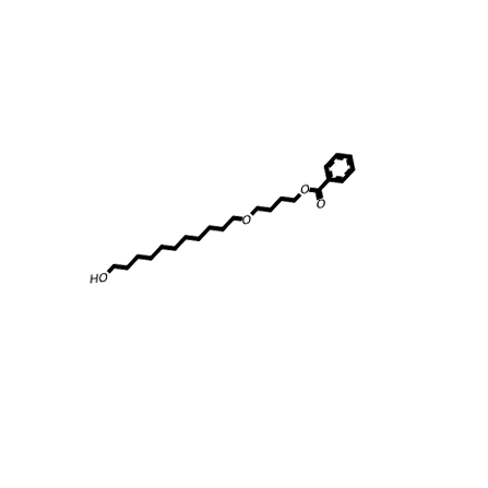 O=C(OCCCCOCCCCCCCCCCCO)c1ccccc1